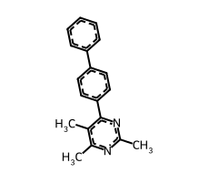 Cc1nc(C)c(C)c(-c2ccc(-c3ccccc3)cc2)n1